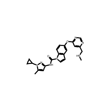 CNCc1cc(Oc2ccc3c(ccn3C(=O)Nc3cc(C)n(C4CC4)n3)c2)ncn1